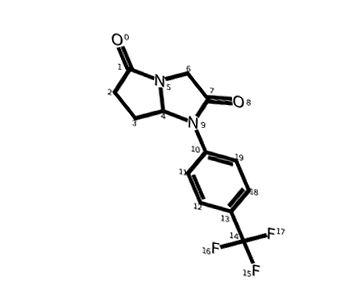 O=C1CCC2N1CC(=O)N2c1ccc(C(F)(F)F)cc1